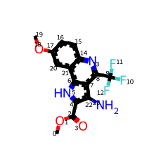 COC(=O)c1[nH]c2c(c(C(F)(F)F)nc3ccc(OC)cc32)c1N